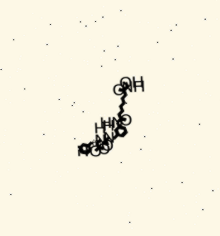 O=C(CCCCCCC(=O)Nc1cccc(CNC(=O)N[C@@H](Cc2ccccc2)C(=O)O)c1)NO